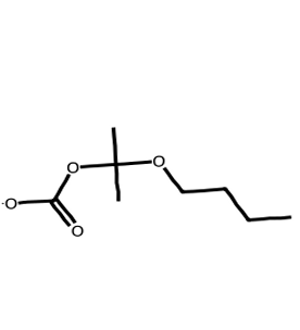 CCCCOC(C)(C)OC([O])=O